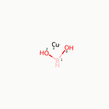 OBO.[Cu]